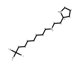 FC(F)(F)CCCCCCCOCCC1CCCO1